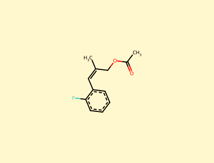 CC(=O)OCC(C)=Cc1ccccc1F